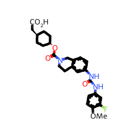 COc1ccc(NC(=O)Nc2ccc3c(c2)CCN(C(=O)O[C@H]2CC[C@H](CC(=O)O)CC2)C3)cc1F